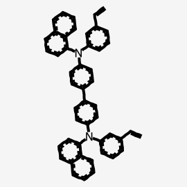 C=Cc1cccc(N(c2ccc(-c3ccc(N(c4cccc(C=C)c4)c4cccc5ccccc45)cc3)cc2)c2cccc3ccccc23)c1